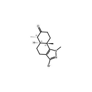 C[C@@H]1C(=O)CC[C@]2(C)c3c(c(Br)nn3C)CC[C@@H]12